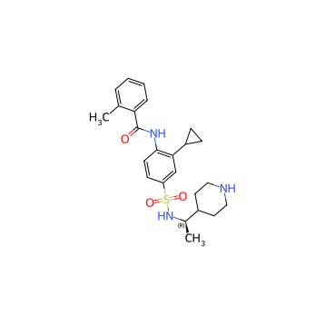 Cc1ccccc1C(=O)Nc1ccc(S(=O)(=O)N[C@H](C)C2CCNCC2)cc1C1CC1